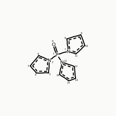 O=P(n1cccc1)(n1cccc1)n1cccc1